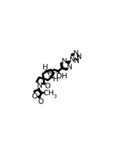 CC1=C(N2CCC3(C[C@H]4CC[C@H](C3)N4C[C@H](O)c3cnc(-n4cnnn4)nc3)C2=O)COC1=O